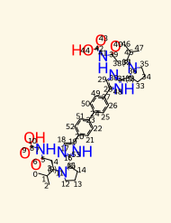 CC(C)[C@@H](CC(=O)NC(=O)O)N1CCC[C@H]1c1ncc(-c2ccc(-c3ccc(-c4cnc([C@@H]5CCCN5[C@H](CC(=O)NC(=O)O)C(C)C)[nH]4)cc3)cc2)[nH]1